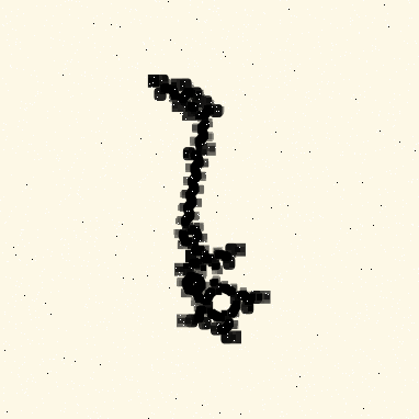 CN1CCN(CC(=O)O)CCN(CC(=O)O)CCN(CC(=O)O)C(Cc2ccc(Nc3nc(N(C)CC(=O)O)nc(N4CCN(CCCCCCCCCCC(=O)NCCCC[C@H](NC(=O)N[C@@H](CCC(=O)O)C(=O)O)C(=O)O)CC4)n3)cc2)C1